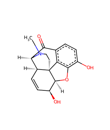 CN1CC[C@]23c4c5ccc(O)c4O[C@H]2[C@@H](O)C=C[C@H]3[C@H]1C5=O